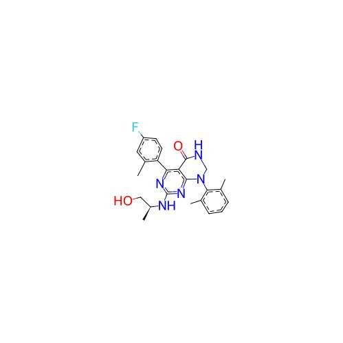 Cc1cc(F)ccc1-c1nc(N[C@@H](C)CO)nc2c1C(=O)NCN2c1c(C)cccc1C